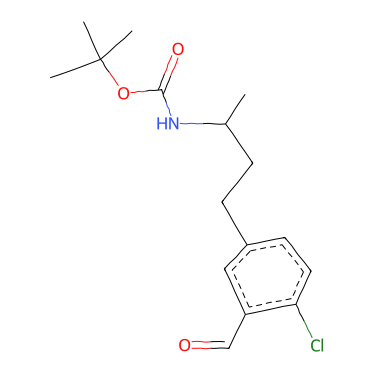 CC(CCc1ccc(Cl)c(C=O)c1)NC(=O)OC(C)(C)C